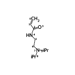 C=CC(=O)NCCN(C(C)C)C(C)C